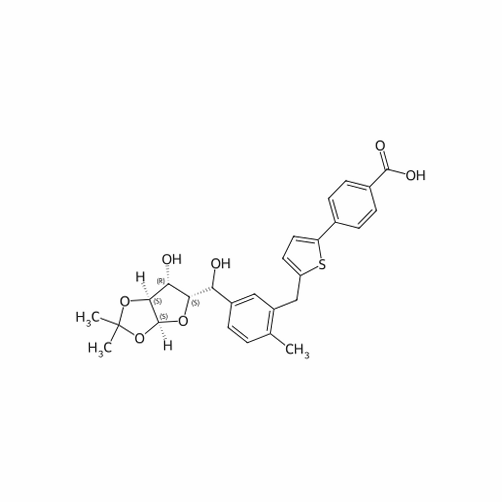 Cc1ccc(C(O)[C@@H]2O[C@H]3OC(C)(C)O[C@H]3[C@@H]2O)cc1Cc1ccc(-c2ccc(C(=O)O)cc2)s1